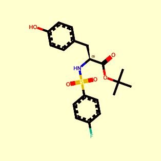 CC(C)(C)OC(=O)[C@H](Cc1ccc(O)cc1)NS(=O)(=O)c1ccc(F)cc1